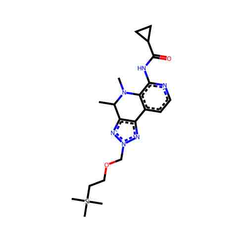 CC1c2nn(COCC[Si](C)(C)C)nc2-c2ccnc(NC(=O)C3CC3)c2N1C